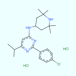 CC(C)c1cc(NC2CC(C)(C)NC(C)(C)C2)nc(-c2ccc(Cl)cc2)n1.Cl.Cl